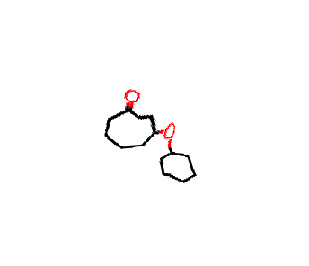 O=C1CCCCC(OC2CCCCC2)C1